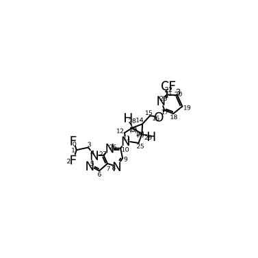 FC(F)Cn1ncc2ncc(N3C[C@@H]4C(COc5cccc(C(F)(F)F)n5)[C@@H]4C3)nc21